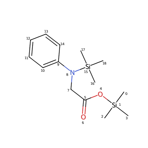 C[Si](C)(C)OC(=O)CN(c1ccccc1)[Si](C)(C)C